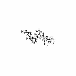 Cn1cc(Nc2nccc(-n3cc(NC(=O)OC(C)(C)C)c4ccccc43)n2)cn1